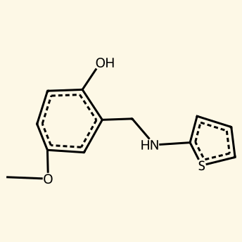 COc1ccc(O)c(CNc2cccs2)c1